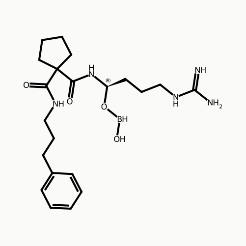 N=C(N)NCCC[C@H](NC(=O)C1(C(=O)NCCCc2ccccc2)CCCC1)OBO